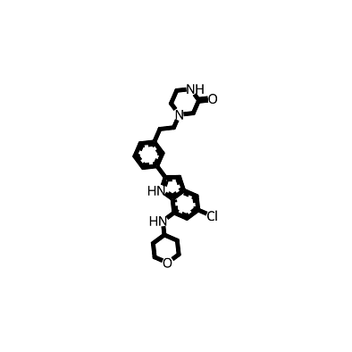 O=C1CN(CCc2cccc(-c3cc4cc(Cl)cc(NC5CCOCC5)c4[nH]3)c2)CCN1